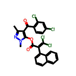 Cc1nn(C)c(OC(=O)C(=C(Cl)Cl)c2cccc3ccccc23)c1C(=O)c1ccc(Cl)cc1Cl